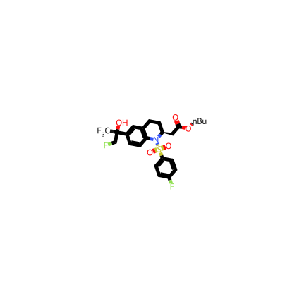 CCCCOC(=O)C[C@@H]1CCc2cc(C(O)(CF)C(F)(F)F)ccc2N1S(=O)(=O)c1ccc(F)cc1